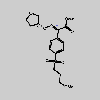 COCCCS(=O)(=O)c1ccc(/C(=N\O[C@@H]2CCOC2)C(=O)OC)cc1